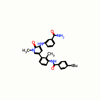 Cc1c(NC(=O)c2ccc(C(C)(C)C)cc2)cccc1-c1cc(Nc2cccc(C(N)=O)c2)c(=O)n(C)c1